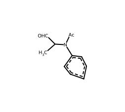 CC(=O)N(c1ccccc1)C(C)C=O